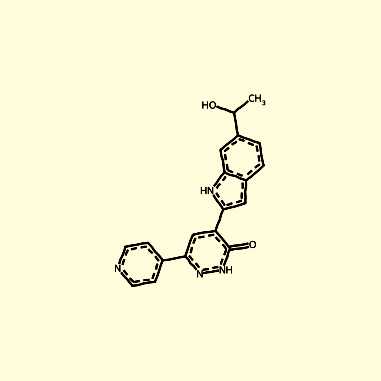 CC(O)c1ccc2cc(-c3cc(-c4ccncc4)n[nH]c3=O)[nH]c2c1